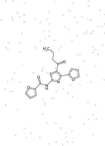 CCCC(=O)c1sc(NC(=O)c2ccco2)nc1-c1ccco1